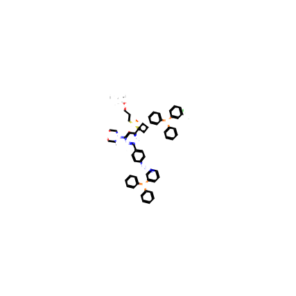 CC(C)[Si](OCCCS(=O)(=O)C1(c2cc(N3CCOC[C@@H]3C)nc(-c3ccc(N)cc3)n2)CCC1)(C(C)C)C(C)C.[Cl][Pd][Cl].c1ccc(P(c2ccccc2)c2ccccc2)cc1.c1ccc(P(c2ccccc2)c2ccccc2)cc1